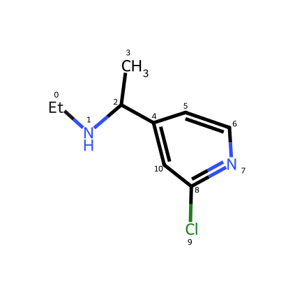 CCNC(C)c1ccnc(Cl)c1